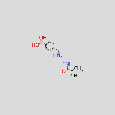 C=C(C)C(=O)NCCNCc1ccc(B(O)O)cc1